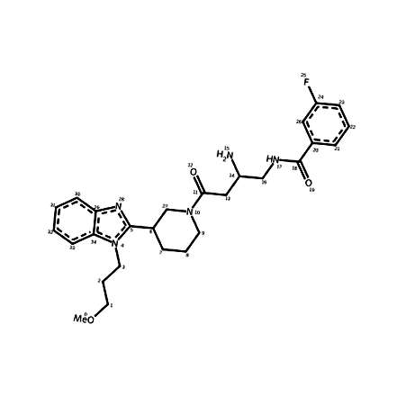 COCCCn1c(C2CCCN(C(=O)CC(N)CNC(=O)c3cccc(F)c3)C2)nc2ccccc21